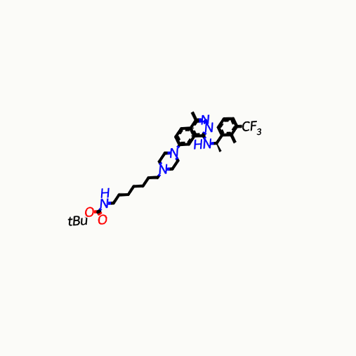 Cc1c([C@@H](C)Nc2nnc(C)c3ccc(N4CCN(CCCCCCCNC(=O)OC(C)(C)C)CC4)cc23)cccc1C(F)(F)F